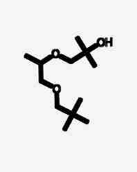 CC(COCC(C)(C)C)OCC(C)(C)O